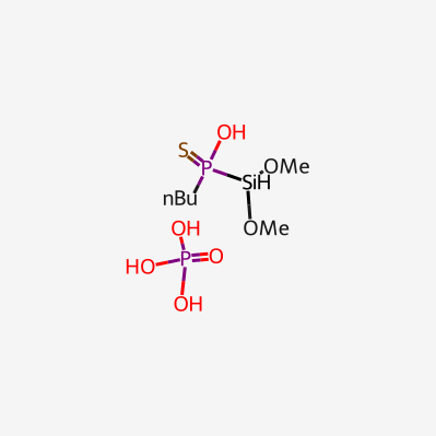 CCCCP(O)(=S)[SiH](OC)OC.O=P(O)(O)O